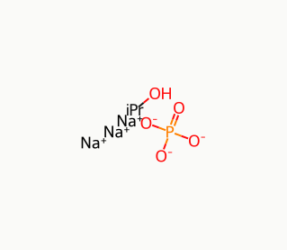 CC(C)O.O=P([O-])([O-])[O-].[Na+].[Na+].[Na+]